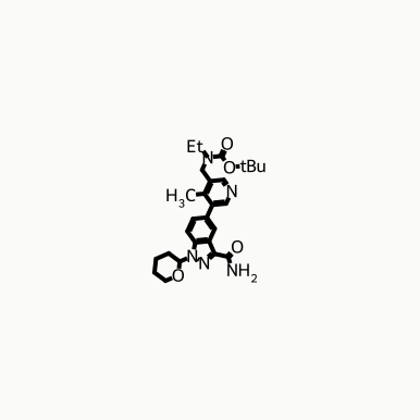 CCN(Cc1cncc(-c2ccc3c(c2)c(C(N)=O)nn3C2CCCCO2)c1C)C(=O)OC(C)(C)C